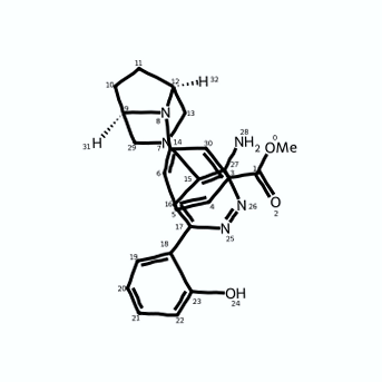 COC(=O)c1cccc(N2[C@@H]3CC[C@H]2CN(c2cc(-c4ccccc4O)nnc2N)C3)c1